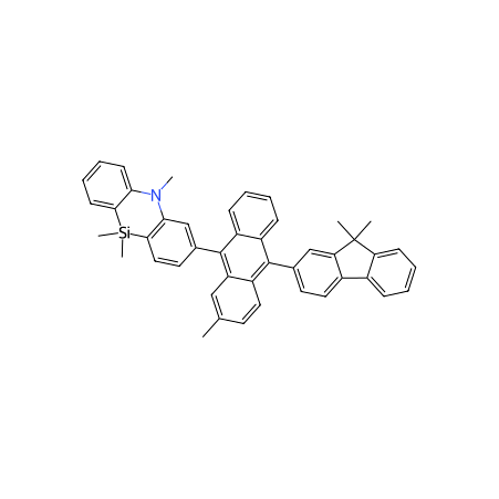 Cc1ccc2c(-c3ccc4c(c3)C(C)(C)c3ccccc3-4)c3ccccc3c(-c3ccc4c(c3)N(C)c3ccccc3[Si]4(C)C)c2c1